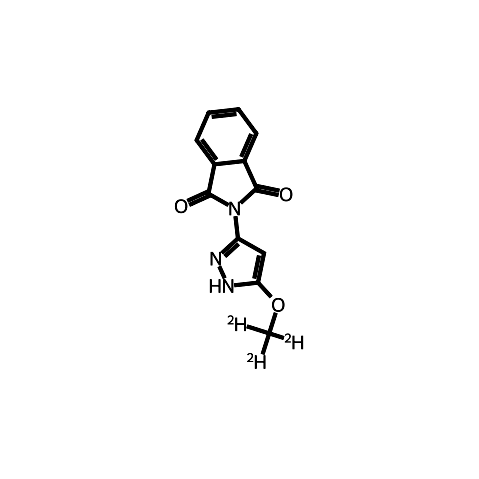 [2H]C([2H])([2H])Oc1cc(N2C(=O)c3ccccc3C2=O)n[nH]1